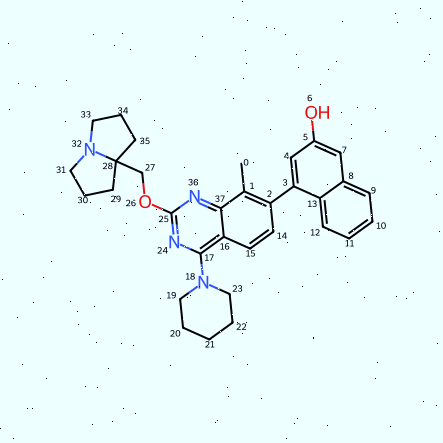 Cc1c(-c2cc(O)cc3ccccc23)ccc2c(N3CCCCC3)nc(OCC34CCCN3CCC4)nc12